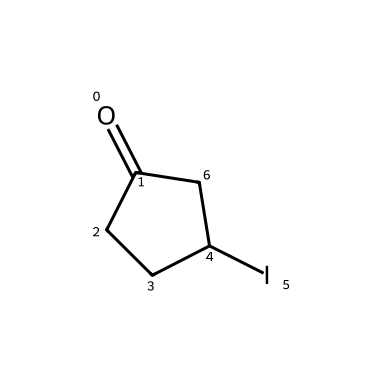 O=C1CCC(I)C1